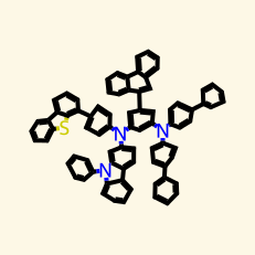 c1ccc(-c2ccc(N(c3ccc(-c4ccccc4)cc3)c3cc(-c4cc5ccccc5c5ccccc45)cc(N(c4ccc(-c5cccc6c5sc5ccccc56)cc4)c4ccc5c6ccccc6n(-c6ccccc6)c5c4)c3)cc2)cc1